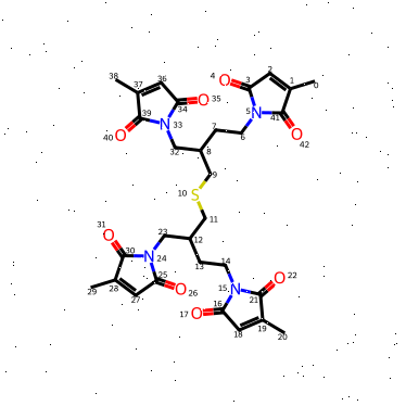 CC1=CC(=O)N(CCC(CSCC(CCN2C(=O)C=C(C)C2=O)CN2C(=O)C=C(C)C2=O)CN2C(=O)C=C(C)C2=O)C1=O